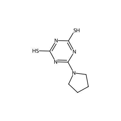 Sc1nc(S)nc(N2CCCC2)n1